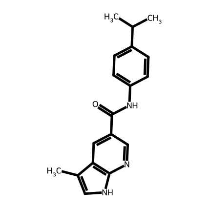 Cc1c[nH]c2ncc(C(=O)Nc3ccc(C(C)C)cc3)cc12